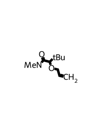 C=CCOC(C(=O)NC)C(C)(C)C